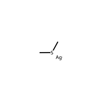 CSC.[Ag]